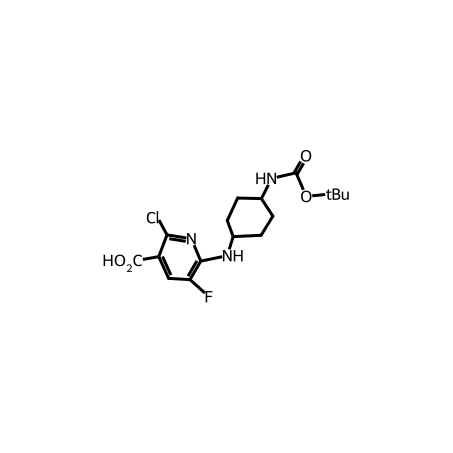 CC(C)(C)OC(=O)NC1CCC(Nc2nc(Cl)c(C(=O)O)cc2F)CC1